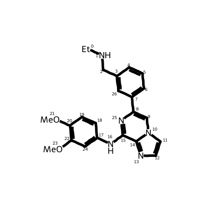 CCNCc1cccc(-c2cn3ccnc3c(Nc3ccc(OC)c(OC)c3)n2)c1